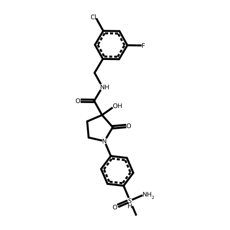 C[SH](N)(=O)c1ccc(N2CCC(O)(C(=O)NCc3cc(F)cc(Cl)c3)C2=O)cc1